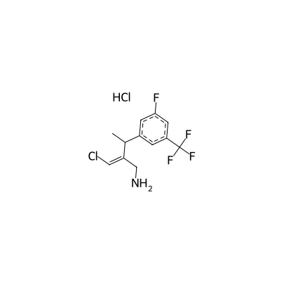 CC(/C(=C\Cl)CN)c1cc(F)cc(C(F)(F)F)c1.Cl